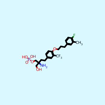 Cc1cc(CCCOc2ccc(CCC(N)(CO)COP(=O)(O)O)cc2C(F)(F)F)ccc1F